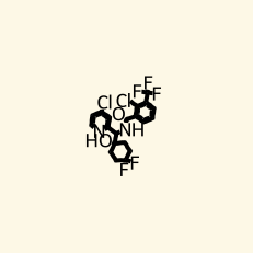 O=C(NC(c1cc(Cl)ccn1)C1(O)CCC(F)(F)CC1)c1cccc(C(F)(F)F)c1Cl